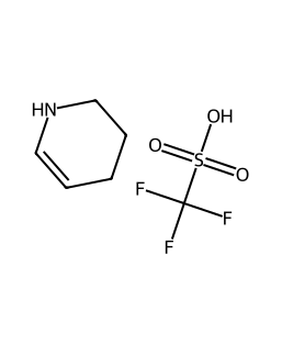 C1=CNCCC1.O=S(=O)(O)C(F)(F)F